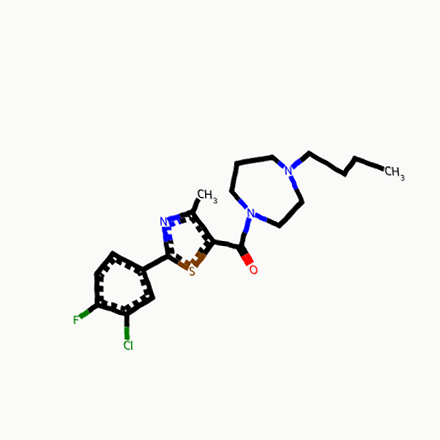 CCCCN1CCCN(C(=O)c2sc(-c3ccc(F)c(Cl)c3)nc2C)CC1